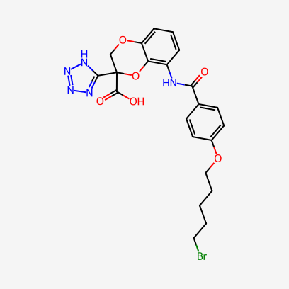 O=C(Nc1cccc2c1OC(C(=O)O)(c1nnn[nH]1)CO2)c1ccc(OCCCCCBr)cc1